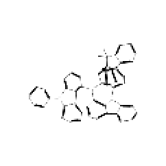 CC1(C)c2ccccc2-c2ccc(N(c3cccc4c3c3ccccc3n4-c3ccccc3)c3cccc4c5ccccc5n(-c5cccc(F)c5)c34)cc21